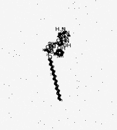 CCCCCCCCCCCCCCCCCCOC[C@@H](OCc1ccccc1)C(C)OP(=O)(O)OC[C@H]1O[C@@](C#N)(c2ccc3c(N)ncnn23)[C@H](O)[C@@H]1O